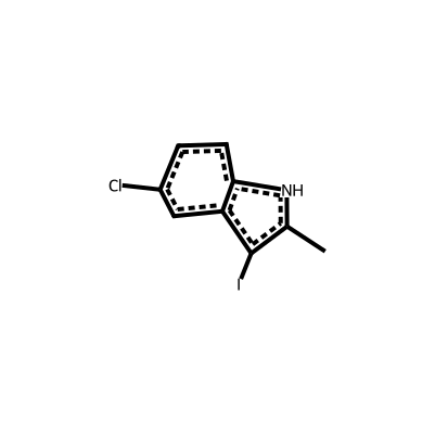 Cc1[nH]c2ccc(Cl)cc2c1I